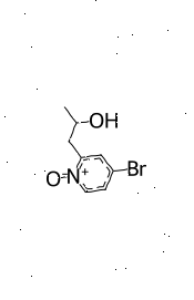 CC(O)Cc1cc(Br)cc[n+]1[O-]